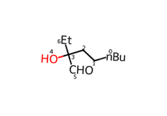 CCCCCCC(O)(C=O)CC